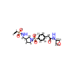 C=CS(=O)(=O)NCC1CCN(S(=O)(=O)c2ccc(CC(=O)NC3COC3)cc2)C1